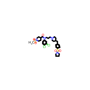 CS(=O)(=O)N1CCC(C(=O)N(CCCN2CCC(Cc3ccc(S(=O)(=O)N4CCCC4)cc3)CC2)c2ccc(Cl)c(Cl)c2)CC1